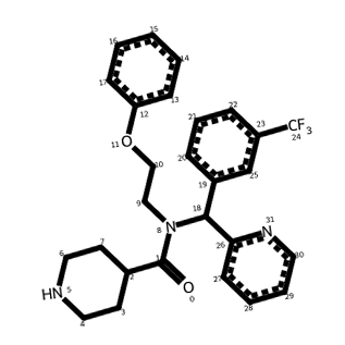 O=C(C1CCNCC1)N(CCOc1ccccc1)C(c1cccc(C(F)(F)F)c1)c1ccccn1